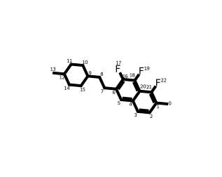 Cc1ccc2cc(CCC3CCC(C)CC3)c(F)c(F)c2c1F